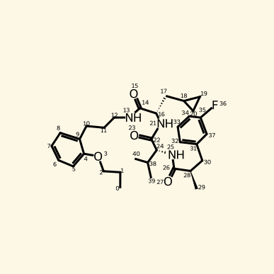 CCCOc1ccccc1CCCNC(=O)[C@H](CC1CC1)NC(=O)[C@H](NC(=O)[C@H](C)Cc1cccc(F)c1)C(C)C